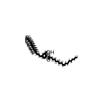 CCCCCCCC/C=C\CCCCCCCC(=O)Oc1ccc(CCCC(F)(F)C(F)(F)C(F)(F)C(F)(F)C(F)(F)C(F)(F)C(F)(F)C(F)(F)F)cc1CO